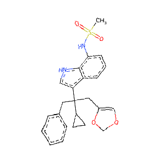 CS(=O)(=O)Nc1cccc2c(C(CC3=COCO3)(Cc3ccccc3)C3CC3)c[nH]c12